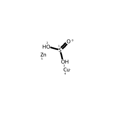 O=S(O)O.[Cu].[Zn]